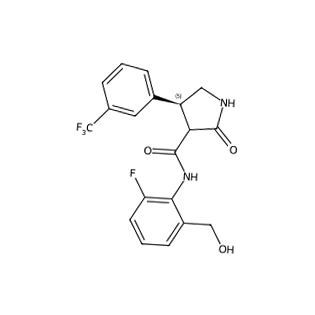 O=C1NC[C@H](c2cccc(C(F)(F)F)c2)C1C(=O)Nc1c(F)cccc1CO